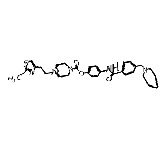 Cc1nc(CCN2CCN(C(=O)Oc3ccc(NC(=O)c4ccc(CN5CCCCC5)cc4)cc3)CC2)cs1